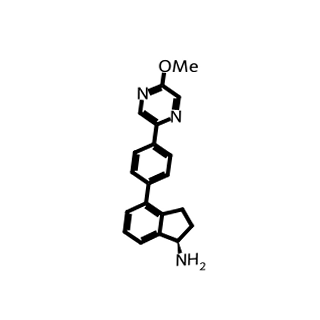 COc1cnc(-c2ccc(-c3cccc4c3CC[C@H]4N)cc2)cn1